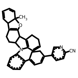 CC12C=CC=CC1C1=C(O2)C2C3=C(C=CCC3)N(c3ccccc3C3=CC=C(c4ccc(C#N)nc4)CC3)C2CC1